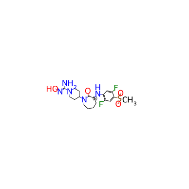 CS(=O)(=O)c1cc(F)c(N[C@H]2CCCCN(C3CCN(C(N)=NO)CC3)C2=O)cc1F